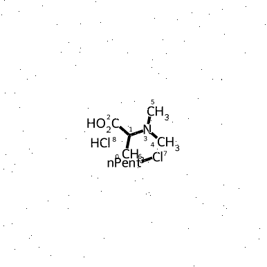 CC(C(=O)O)N(C)C.CCCCCCl.Cl